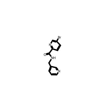 O=C(NCc1cccnc1)c1ccc(Br)cn1